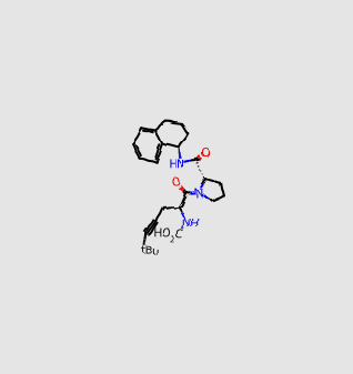 CC(C)(C)C#CC[C@H](NC(=O)O)C(=O)N1CCC[C@H]1C(=O)N[C@@H]1CCCc2ccccc21